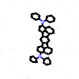 c1ccc(N(c2ccccc2)c2ccc3c4cc5c(cc4c4cccc2c43)c2cccc3c(N(c4ccccc4)c4ccccc4)ccc5c32)cc1